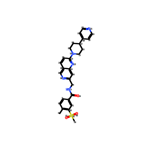 Cc1ccc(C(=O)NCc2cc3nc(N4CCC(c5ccncc5)CC4)ccc3cn2)cc1S(C)(=O)=O